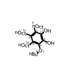 CCCCCCCCc1c(O)c(O)c(OCCCC)c(CCCCCCCC)c1CCCCCCCC